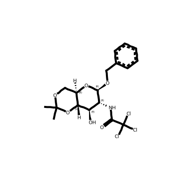 CC1(C)OC[C@H]2O[C@@H](OCc3ccccc3)[C@H](NC(=O)C(Cl)(Cl)Cl)[C@@H](O)[C@@H]2O1